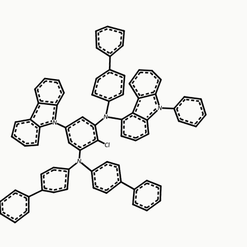 Clc1c(N(c2ccc(-c3ccccc3)cc2)c2ccc(-c3ccccc3)cc2)cc(-n2c3ccccc3c3ccccc32)cc1N(c1ccc(-c2ccccc2)cc1)c1cccc2c1c1ccccc1n2-c1ccccc1